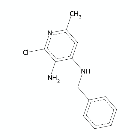 Cc1cc(NCc2ccccc2)c(N)c(Cl)n1